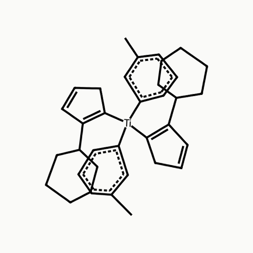 Cc1ccc[c]([Ti]([C]2=C(C3CCCCC3)C=CC2)([C]2=C(C3CCCCC3)C=CC2)[c]2cccc(C)c2)c1